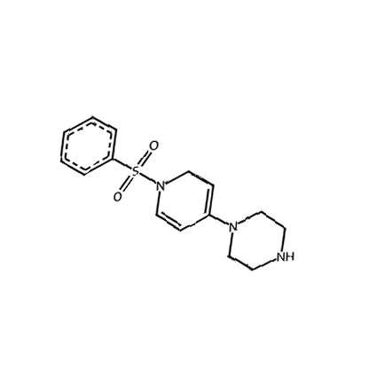 O=S(=O)(c1ccccc1)N1C=CC(N2CCNCC2)=CC1